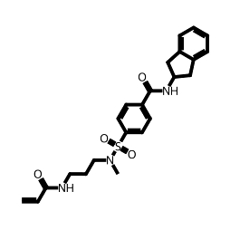 C=CC(=O)NCCCN(C)S(=O)(=O)c1ccc(C(=O)NC2Cc3ccccc3C2)cc1